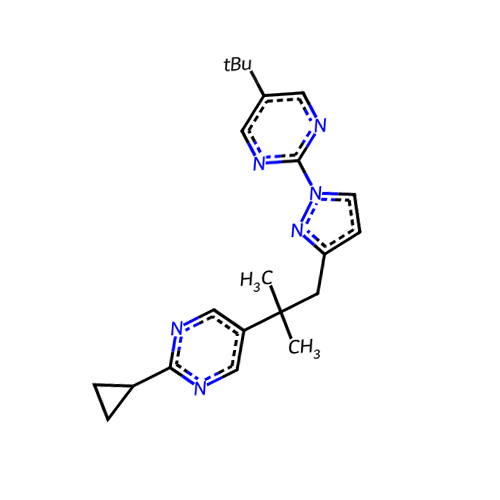 CC(C)(C)c1cnc(-n2ccc(CC(C)(C)c3cnc(C4CC4)nc3)n2)nc1